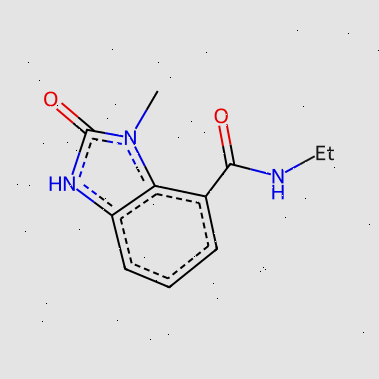 CCNC(=O)c1cccc2[nH]c(=O)n(C)c12